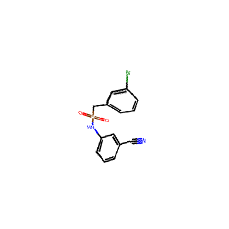 N#Cc1cccc(NS(=O)(=O)Cc2cccc(Br)c2)c1